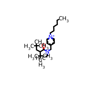 CCCCCC[n+]1ccc(CN(CC)C(=O)C(CC(C)(C)C)C(C)(C)C)cc1